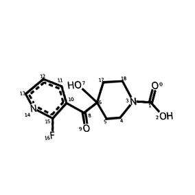 O=C(O)N1CCC(O)(C(=O)c2cccnc2F)CC1